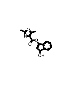 Cc1nc(C(=O)OC2=CC(O)c3ccccc32)c(C)o1